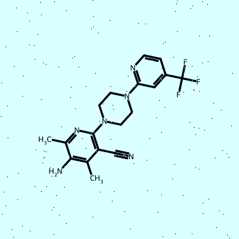 Cc1nc(N2CCN(c3cc(C(F)(F)F)ccn3)CC2)c(C#N)c(C)c1N